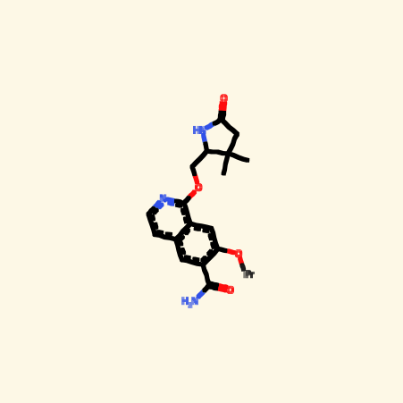 CC(C)Oc1cc2c(OCC3NC(=O)CC3(C)C)nccc2cc1C(N)=O